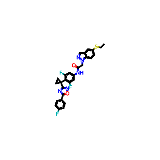 CCSc1ccc2c(cnn2CC(=O)Nc2cc(F)c(C3(c4noc(-c5ccc(F)cc5)n4)CC3)c(F)c2)c1